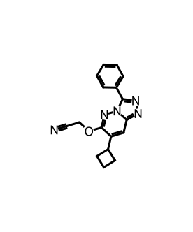 N#CCOc1nn2c(-c3ccccc3)nnc2cc1C1CCC1